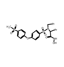 CC(C)CN(C(C(=O)NO)C(C)C)S(=O)(=O)c1ccc(Oc2ccc(S(C)(=O)=O)cc2)cc1